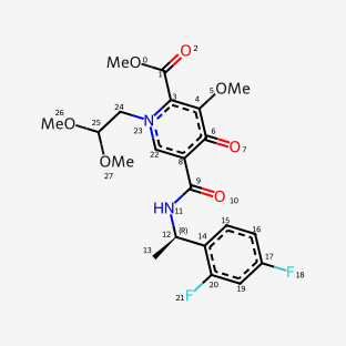 COC(=O)c1c(OC)c(=O)c(C(=O)N[C@H](C)c2ccc(F)cc2F)cn1CC(OC)OC